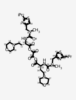 CC(C)c1nc(CN(C)C(=O)N[C@@H](CCN2CCOCC2)C(=O)OC(=O)C(=O)OC(=O)[C@H](CCN2CCOCC2)NC(=O)N(C)Cc2csc(C(C)C)n2)cs1